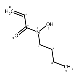 C=CC(=O)N(O)CCCC